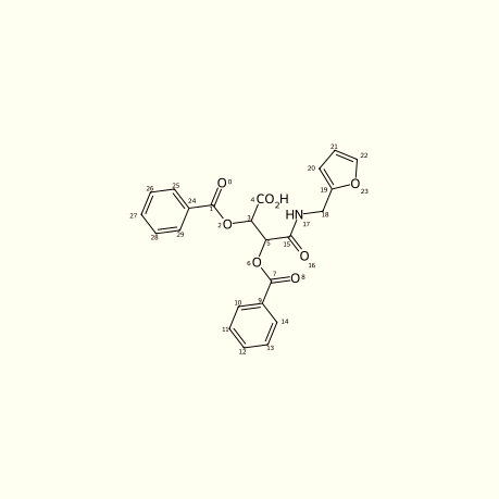 O=C(OC(C(=O)O)C(OC(=O)c1ccccc1)C(=O)NCc1ccco1)c1ccccc1